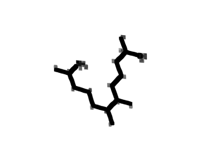 CC(N)CCCC(C)C(C)CCCC(C)O